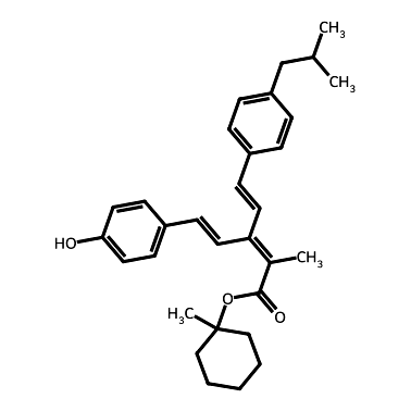 CC(C(=O)OC1(C)CCCCC1)=C(C=Cc1ccc(O)cc1)C=Cc1ccc(CC(C)C)cc1